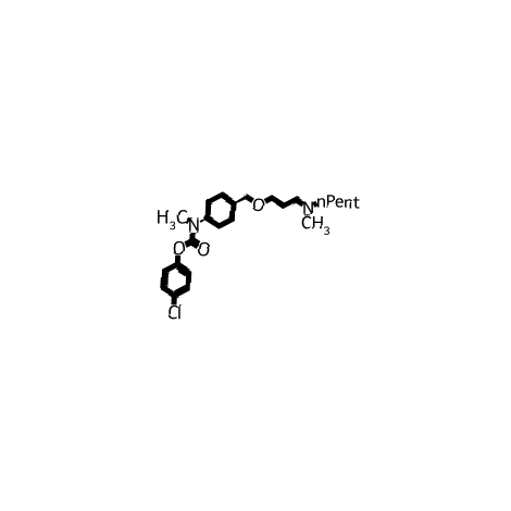 CCCCCN(C)CCCOC[C@H]1CC[C@H](N(C)C(=O)Oc2ccc(Cl)cc2)CC1